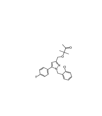 CC(=O)C(C)(C)OCc1cc(-c2ccc(F)cc2)n(Cc2ccccc2Cl)n1